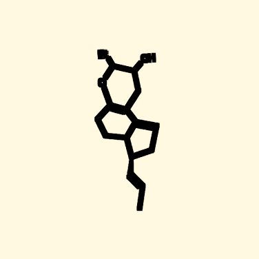 CC=C[C@@H]1CC=C2C3=C(CCC21)OC(CC)C(O)C3